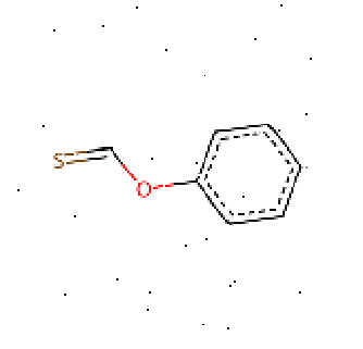 S=COc1cc[c]cc1